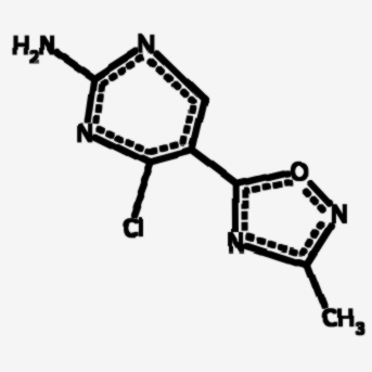 Cc1noc(-c2cnc(N)nc2Cl)n1